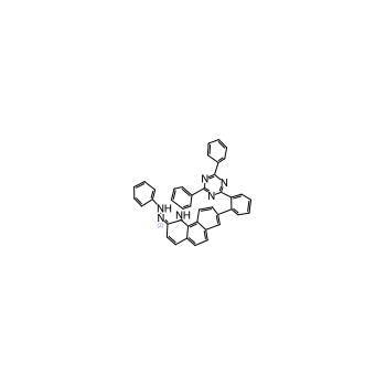 N=C1/C(=N\Nc2ccccc2)C=Cc2ccc3cc(-c4ccccc4-c4nc(-c5ccccc5)nc(-c5ccccc5)n4)ccc3c21